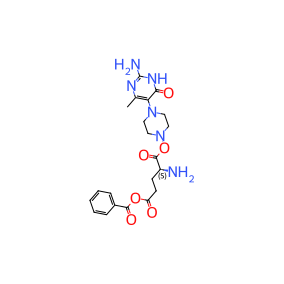 Cc1nc(N)[nH]c(=O)c1N1CCN(OC(=O)[C@@H](N)CCC(=O)OC(=O)c2ccccc2)CC1